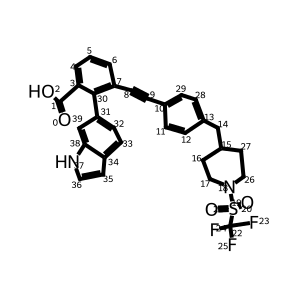 O=C(O)c1cccc(C#Cc2ccc(CC3CCN(S(=O)(=O)C(F)(F)F)CC3)cc2)c1-c1ccc2cc[nH]c2c1